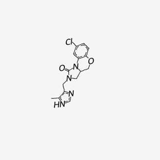 Cc1[nH]cnc1CN1CC2COc3ccc(Cl)cc3N2C1=O